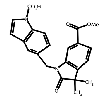 COC(=O)c1ccc2c(c1)N(Cc1ccc3c(ccn3C(=O)O)c1)C(=O)C2(C)C